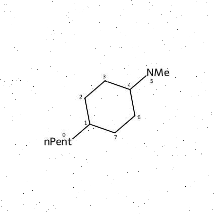 CCCCCC1CCC(NC)CC1